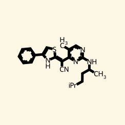 Cc1cnc(NC(C)CCC(C)C)nc1C(C#N)=C1NC(c2ccccc2)=CS1